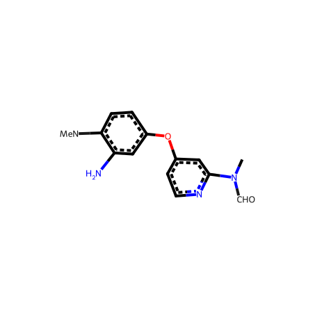 CNc1ccc(Oc2ccnc(N(C)C=O)c2)cc1N